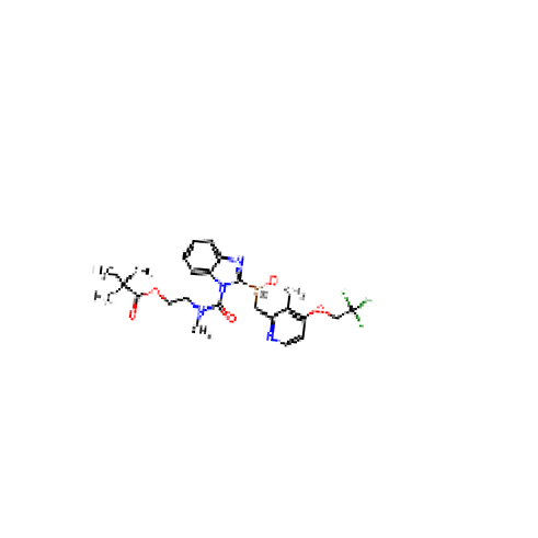 Cc1c(OCC(F)(F)F)ccnc1C[S@@+]([O-])c1nc2ccccc2n1C(=O)N(C)CCOC(=O)C(C)(C)C